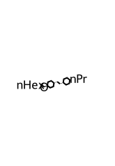 CCCCCCO[C@H]1CC[C@H](CC[C@H]2CC[C@H](CCC)CC2)CC1